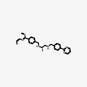 C=N/C(=N\C=C/C)c1ccc(CN[C@H](C)CNCc2ccc(-c3ncccn3)cc2)cc1